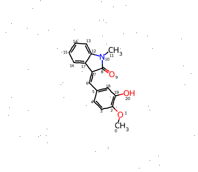 COc1ccc(C=C2C(=O)N(C)c3ccccc32)cc1O